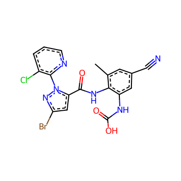 Cc1cc(C#N)cc(NC(=O)O)c1NC(=O)c1cc(Br)nn1-c1ncccc1Cl